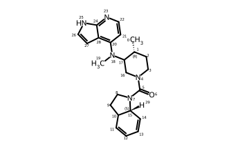 C[C@@H]1CCN(C(=O)N2CCC3C=CC=C[C@H]32)CC1N(C)c1ccnc2[nH]ccc12